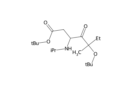 CCC(C)(OC(C)(C)C)C(=O)C(CC(=O)OC(C)(C)C)NC(C)C